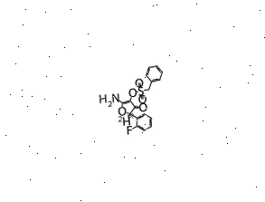 [2H][C@@]1(c2ccccc2F)OC(N)=C(OS(=O)(=O)Cc2ccccc2)C1=O